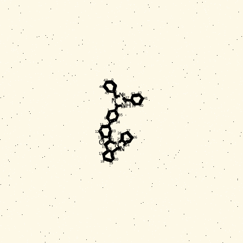 C1=C=C(C2=NC(c3ccc(-c4ccc5oc6c7ccccc7c7nc8ccccc8n7c6c5c4)cc3)NC(c3ccccc3)=N2)C=CC=1